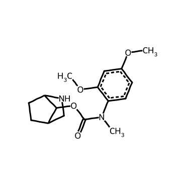 COc1ccc(N(C)C(=O)OC2C3CCC2NC3)c(OC)c1